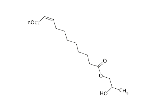 CCCCCCCC/C=C\CCCCCCCC(=O)OCC(C)O